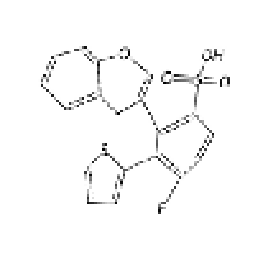 O=S(=O)(O)c1ccc(F)c(-c2cccs2)c1C1=COc2ccccc2C1